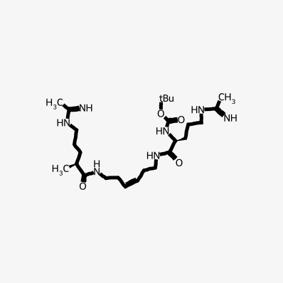 CC(=N)NCCC[C@H](NC(=O)OC(C)(C)C)C(=O)NCC/C=C\CCNC(=O)[C@@H](C)CCCNC(C)=N